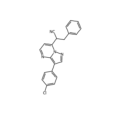 N#CC(Cc1ccccc1)c1ccnc2c(-c3ccc(Cl)cc3)cnn12